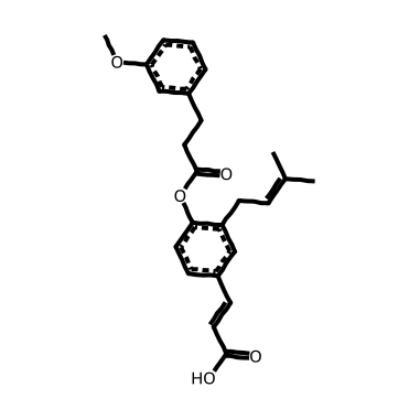 COc1cccc(CCC(=O)Oc2ccc(/C=C/C(=O)O)cc2CC=C(C)C)c1